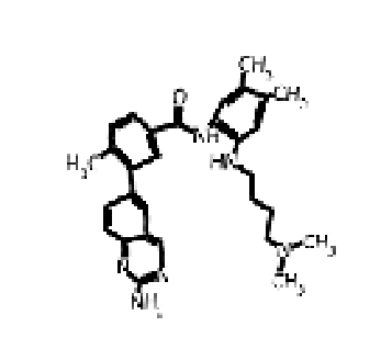 Cc1cc(NCCCCN(C)C)c(NC(=O)c2ccc(C)c(-c3ccc4nc(N)ncc4c3)c2)cc1C